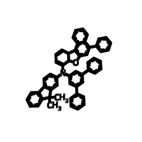 CC1(C)c2ccccc2-c2ccc(N(C3=CC=CC4c5c(cc(-c6ccccc6)c6ccccc56)OC34)c3cc(-c4ccccc4)cc(-c4ccccc4)c3)cc21